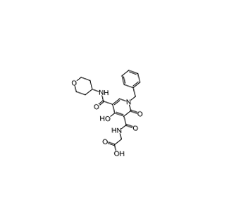 O=C(O)CNC(=O)c1c(O)c(C(=O)NC2CCOCC2)cn(Cc2ccccc2)c1=O